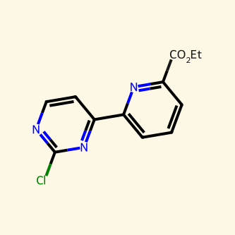 CCOC(=O)c1cccc(-c2ccnc(Cl)n2)n1